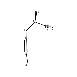 CC#CC[C@@H](C)N